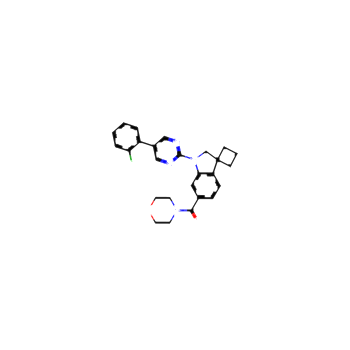 O=C(c1ccc2c(c1)N(c1ncc(-c3ccccc3F)cn1)CC21CCC1)N1CCOCC1